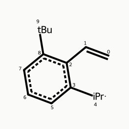 C=Cc1c([C](C)C)cccc1C(C)(C)C